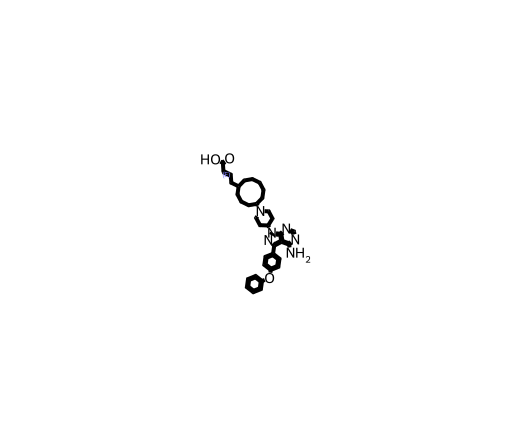 Nc1ncnc2c1c(-c1ccc(Oc3ccccc3)cc1)nn2C1CCN(C2CCCCCC(C/C=C/C(=O)O)CCC2)CC1